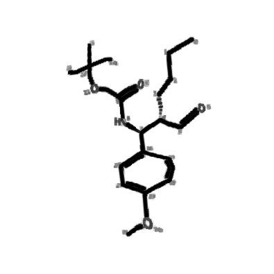 CCCC[C@H](C=O)[C@H](NC(=O)OC(C)(C)C)c1ccc(OC)cc1